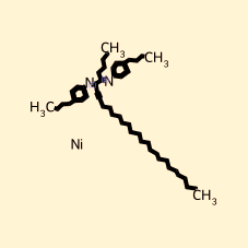 CCCCCCCCCCCCCCCCCCCCCC#CC(=N\c1ccc(CCCC)cc1)/C(CCCCC)=N/c1ccc(CCCC)cc1.[Ni]